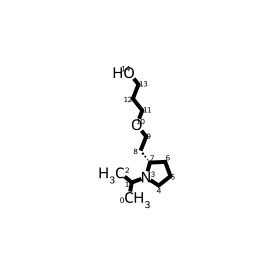 CC(C)N1CCC[C@H]1CCOCCCO